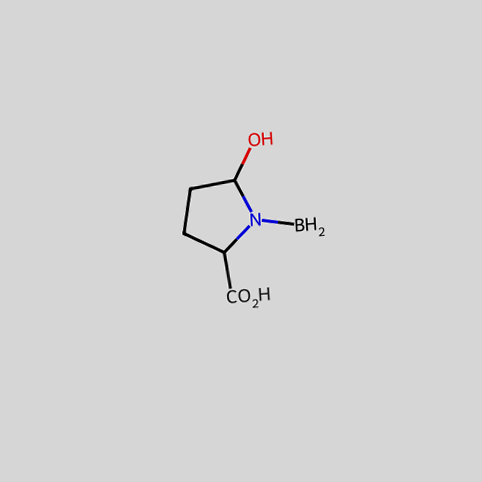 BN1C(O)CCC1C(=O)O